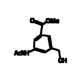 COC(=O)c1cc(CO)cc(NC(C)=O)c1